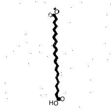 COC(=O)CCCCCCCCCCCCCCCCCCCCC(=O)O